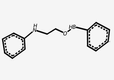 B(OCCNc1ccccc1)c1cc[c]cc1